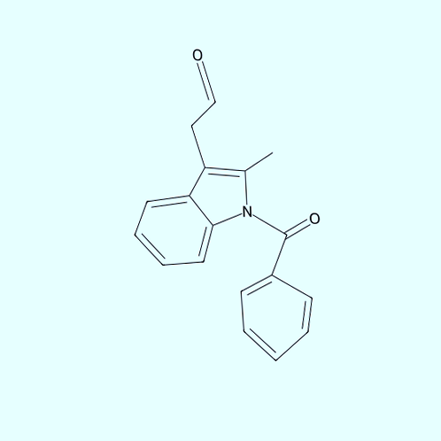 Cc1c(CC=O)c2ccccc2n1C(=O)c1ccccc1